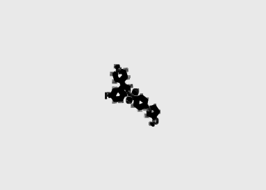 COC1CCN(c2ccc(S(=O)(=O)n3cc(C4=CCN(C)CC4)c4cc(F)ccc43)cc2)C1